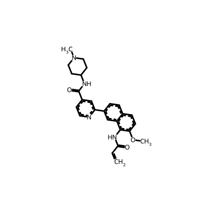 C=CC(=O)Nc1c(OC)ccc2ccc(-c3cc(C(=O)NC4CCN(C)CC4)ccn3)cc12